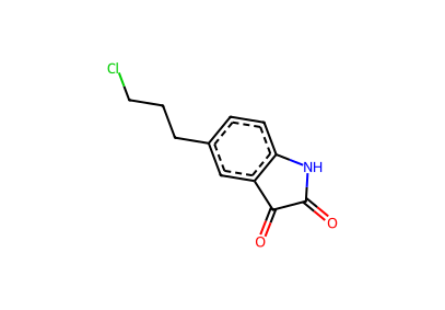 O=C1Nc2ccc(CCCCl)cc2C1=O